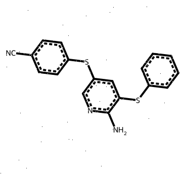 N#Cc1ccc(Sc2cnc(N)c(Sc3ccccc3)c2)cc1